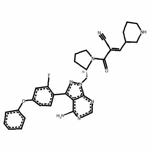 N#CC(=CC1CCCNC1)C(=O)N1CCC[C@H]1Cn1nc(-c2ccc(Oc3ccccc3)cc2F)c2c(N)ncnc21